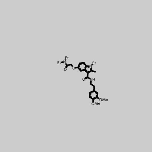 CCN(CC)C(=O)COc1ccc2c(c1)c(C(=O)NCCc1ccc(OC)c(OC)c1)c(C)n2CC